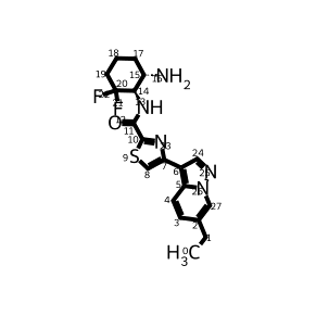 CCc1ccc2c(-c3csc(C(=O)N[C@@H]4[C@@H](N)CCCC4(F)F)n3)cnn2c1